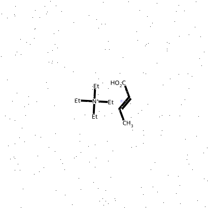 C/C=C/C(=O)O.CC[N+](CC)(CC)CC